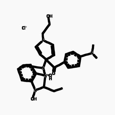 CCC1N(O)c2ccc3cc2[N+]1(O)N3C1(C(=O)c2ccc(N(C)C)cc2)C=CN(CCO)C=C1.[Cl-]